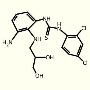 Nc1cccc(NC(=S)Nc2ccc(Cl)cc2Cl)c1NCC(O)CO